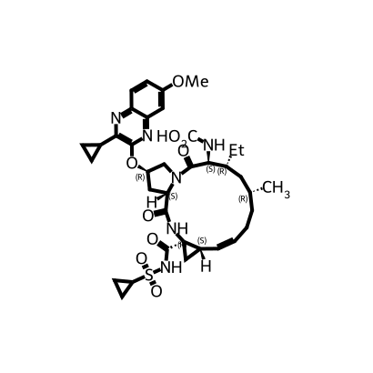 CC[C@@H]1C[C@H](C)CCC=C[C@@H]2C[C@@]2(C(=O)NS(=O)(=O)C2CC2)NC(=O)[C@@H]2C[C@@H](Oc3nc4cc(OC)ccc4nc3C3CC3)CN2C(=O)[C@H]1NC(=O)O